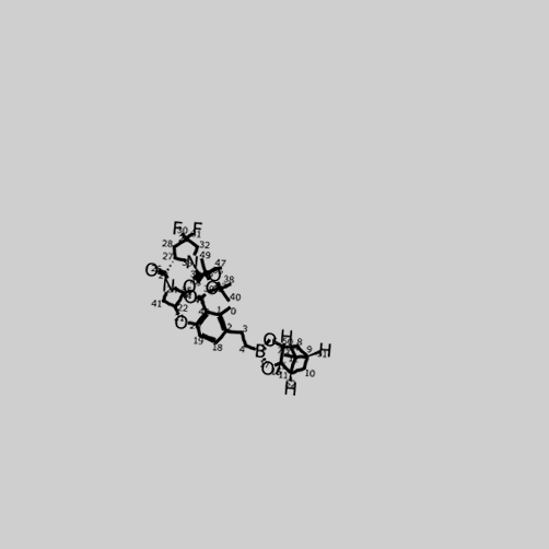 Cc1c(CCB2O[C@@H]3C[C@@H]4C[C@@H](C4(C)C)[C@]3(C)O2)ccc(OC2CN(C(=O)[C@@H]3CC(F)(F)CN3C(=O)OC(C)(C)C)C2)c1C(=O)OC(C)(C)C